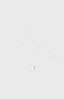 COc1ccc(CO[C@H](C[C@@H](CCC=O)OC(=O)C(C)(C)/C=C/CO[Si](C)(C)C(C)(C)C)[C@@H](C)OCOCc2ccccc2)cc1